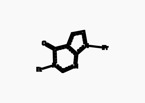 CCn1cnc2c(ccn2C(C)C)c1=O